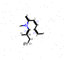 C=C(/C=C\C=C/C)N(C)/C=C(\C)CC(C)C